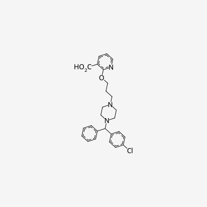 O=C(O)c1cccnc1OCCCN1CCN(C(c2ccccc2)c2ccc(Cl)cc2)CC1